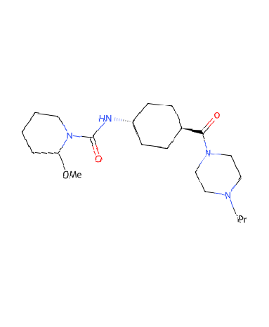 COC1CCCCN1C(=O)N[C@H]1CC[C@H](C(=O)N2CCN(C(C)C)CC2)CC1